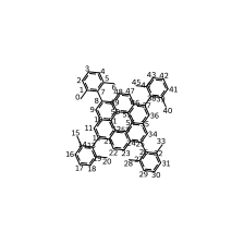 Cc1cccc(C)c1-c1cc2cc(-c3c(C)cccc3C)c3ccc4c(-c5c(C)cccc5C)cc5cc(-c6c(C)cccc6C)c6ccc1c1c2c3c4c5c61